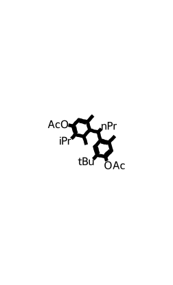 CCCC(c1cc(C(C)(C)C)c(OC(C)=O)cc1C)C1C(C)=CC(OC(C)=O)=C(C(C)C)C1C